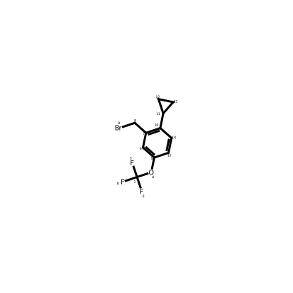 FC(F)(F)Oc1[c]c(CBr)c(C2CC2)cc1